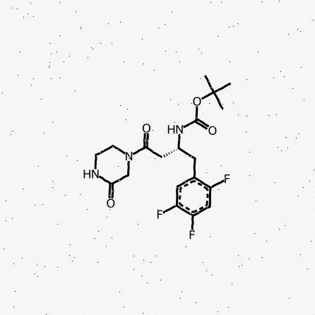 CC(C)(C)OC(=O)N[C@@H](CC(=O)N1CCNC(=O)C1)Cc1cc(F)c(F)cc1F